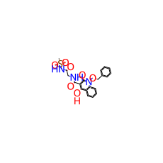 CS(=O)(=O)NC(=O)CNC(=O)c1c(O)c2ccccc2n(OCc2ccccc2)c1=O